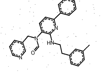 Cc1cccc(CCNc2nc(-c3ccccc3)ccc2N(C=O)Cc2cccnc2)c1